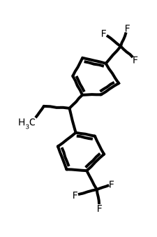 CCC(c1ccc(C(F)(F)F)cc1)c1ccc(C(F)(F)F)cc1